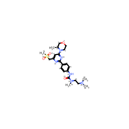 C[C@H]1COCCN1c1cc(CS(C)(=O)=O)nc(-c2ccc(NC(=O)N(C)CCN(C)C)cc2)n1